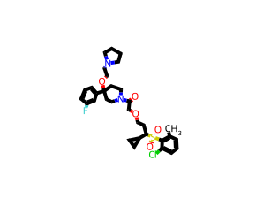 Cc1cccc(Cl)c1S(=O)(=O)C(CCOCC(=O)N1CCC(OCCN2CCCC2)(c2cccc(F)c2)CC1)C1CC1